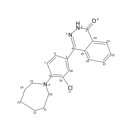 O=c1[nH]nc(-c2ccc(N3CCCCCC3)c(Cl)c2)c2ccccc12